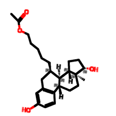 CC(=O)OCCCCC[C@@H]1Cc2cc(O)ccc2[C@H]2CC[C@]3(C)[C@@H](O)CC[C@H]3[C@H]12